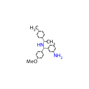 COc1ccc(C(N[C@H](C)c2ccc(C)cc2)c2cccc(N)c2)cc1